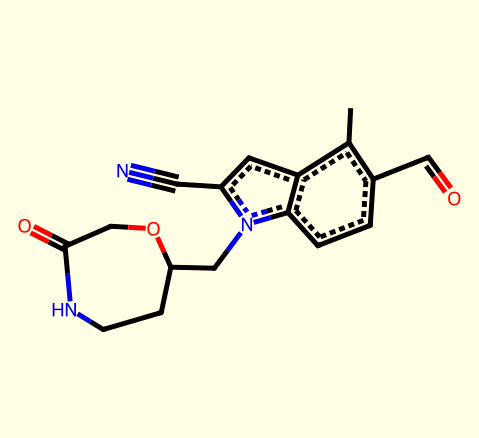 Cc1c(C=O)ccc2c1cc(C#N)n2CC1CCNC(=O)CO1